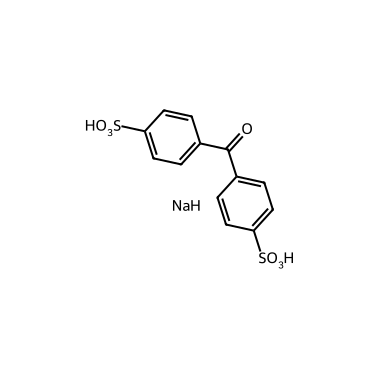 O=C(c1ccc(S(=O)(=O)O)cc1)c1ccc(S(=O)(=O)O)cc1.[NaH]